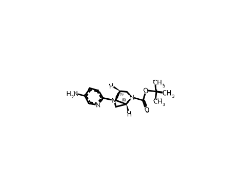 CC(C)(C)OC(=O)N1C[C@@H]2C[C@H]1CN2c1ccc(N)cn1